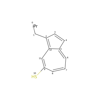 CC(C)Cc1ccc2cccc(S)cc1-2